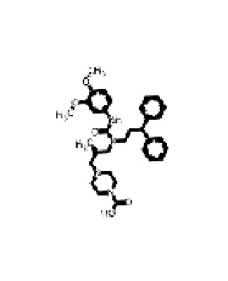 C=C(CN1CCN(C(=O)O)CC1)CN(CCC(c1ccccc1)c1ccccc1)C(=O)Nc1ccc(OC)c(OC)c1